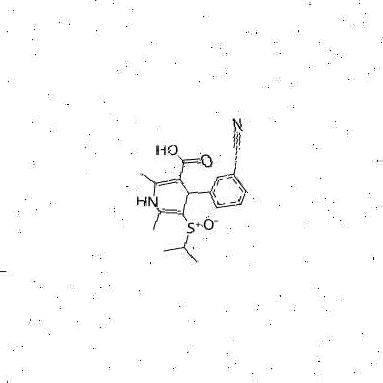 CC1=C(C(=O)O)C(c2cccc(C#N)c2)C([S+]([O-])C(C)C)=C(C)N1